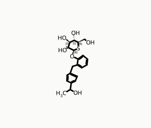 CC(O)c1ccc(Cc2ccccc2O[C@@H]2S[C@H](CO)[C@@H](O)[C@H](O)[C@H]2O)cc1